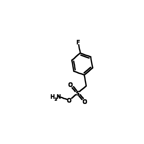 NOS(=O)(=O)Cc1ccc(F)cc1